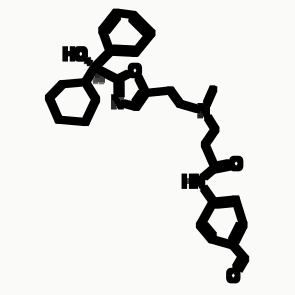 CN(CCC(=O)Nc1ccc(C=O)cc1)CCc1cnc([C@](O)(c2ccccc2)C2CCCCC2)o1